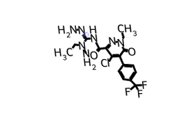 CCN(N)/C(=N\N)NC(=O)c1nn(CC)c(=O)c(-c2ccc(C(F)(F)F)cc2)c1Cl